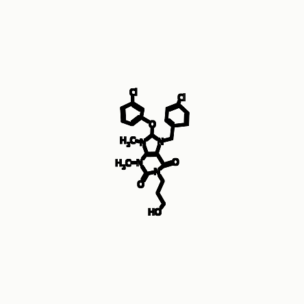 CN1c2c(c(=O)n(CCCO)c(=O)n2C)N(Cc2ccc(Cl)cc2)C1Oc1cccc(Cl)c1